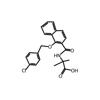 CC(C)(NC(=O)c1ccc2ccccc2c1OCc1ccc(Cl)cc1)C(=O)O